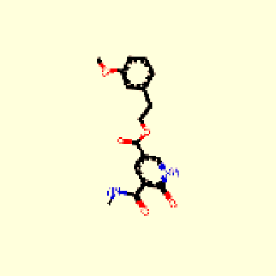 CNC(=O)c1cc(C(=O)OCCc2cccc(OC)c2)c[nH]c1=O